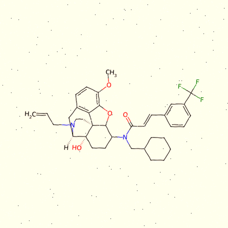 C=CCN1CC[C@]23c4c5ccc(OC)c4OC2C(N(CC2CCCCC2)C(=O)/C=C/c2cccc(C(F)(F)F)c2)CC[C@@]3(O)[C@H]1C5